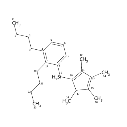 CCCCc1cccc([SiH2]C2=C(C)C(C)=C(C)C2C)c1CCCC